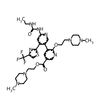 CCNC(=O)Nc1cc(-c2nc(C(F)(F)F)cs2)c(-c2cc(C(=O)OCCN3CCN(C)CC3)cnc2OCCN2CCN(C)CC2)cn1